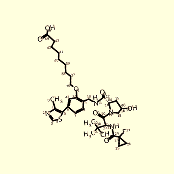 Cc1ncsc1-c1ccc(CNC(=O)[C@@H]2C[C@@H](O)CN2C(=O)[C@@H](NC(=O)C2(F)CC2)C(C)(C)C)c(OCCCCCCCCC(=O)O)c1